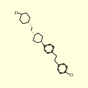 CC[C@H]1CC[C@H](CC[C@H]2CC[C@H](c3ccc(CCc4ccc(Cl)cc4)cc3)CC2)CC1